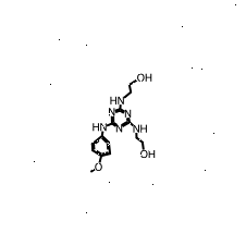 COc1ccc(Nc2nc(NCCO)nc(NCCO)n2)cc1